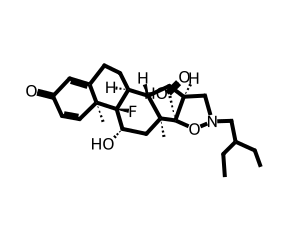 CCC(CC)CN1C[C@@H]2C[C@H]3[C@@H]4CCC5=CC(=O)C=C[C@]5(C)[C@@]4(F)[C@@H](O)C[C@]3(C)[C@]2(C(=O)O)O1